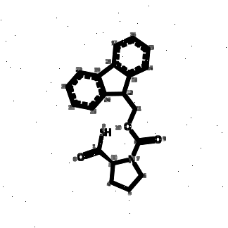 O=C(S)[C@@H]1CCCN1C(=O)OCC1c2ccccc2-c2ccccc21